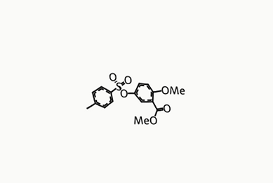 COC(=O)c1cc(OS(=O)(=O)c2ccc(C)cc2)ccc1OC